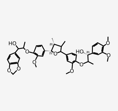 COc1ccc([C@@H](O)C(C)Oc2ccc(C3O[C@H](c4ccc(OC(C)C(O)c5ccc6c(c5)OCO6)c(OC)c4)[C@H](C)C3C)cc2OC)cc1OC